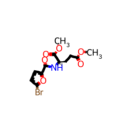 COC(=O)CC[C@@H](NC(=O)c1ccc(Br)o1)C(=O)OC